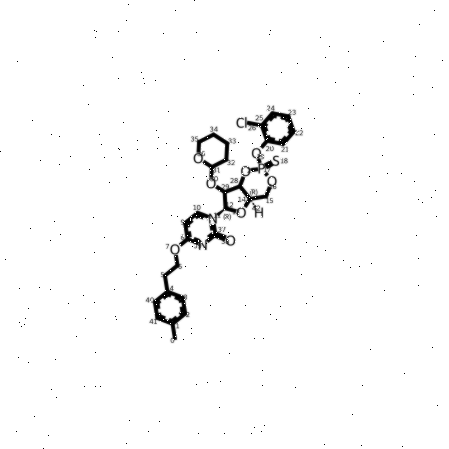 Cc1ccc(CCOc2ccn([C@@H]3O[C@@H]4COP(=S)(Oc5ccccc5Cl)OC4C3OC3CCCCO3)c(=O)n2)cc1